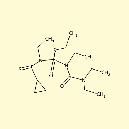 CCSP(=O)(N(CC)C(=O)N(CC)CC)N(CC)C(=S)C1CC1